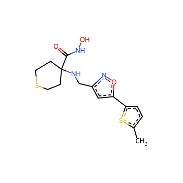 Cc1ccc(-c2cc(CNC3(C(=O)NO)CCSCC3)no2)s1